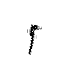 CCCCCCCCCCCCNc1ccc(NC(=O)C=C(C)c2ccc(O)cc2)cc1